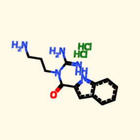 Cl.Cl.N=C(N)N(CCCN)C(=O)c1cc2ccccc2[nH]1